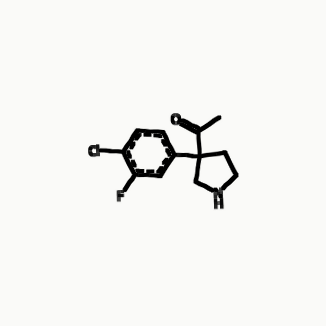 CC(=O)C1(c2ccc(Cl)c(F)c2)CCNC1